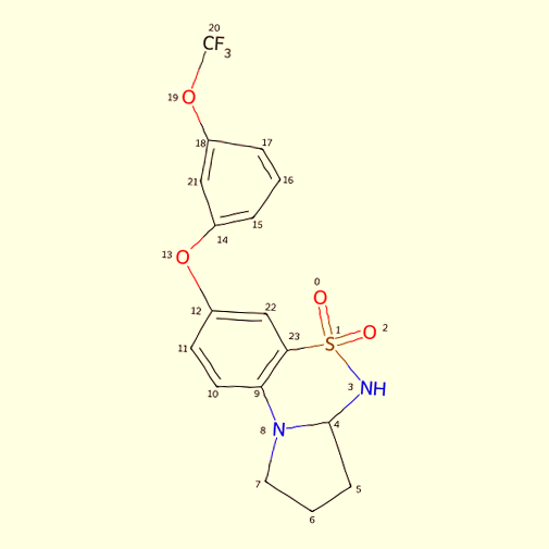 O=S1(=O)NC2CCCN2c2ccc(Oc3cccc(OC(F)(F)F)c3)cc21